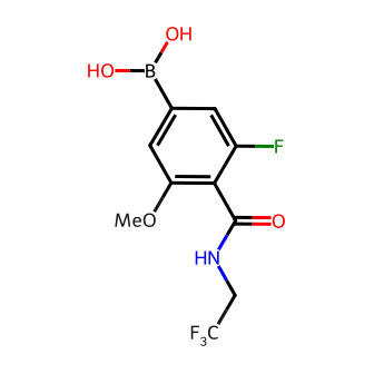 COc1cc(B(O)O)cc(F)c1C(=O)NCC(F)(F)F